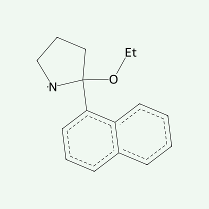 CCOC1(c2cccc3ccccc23)CCC[N]1